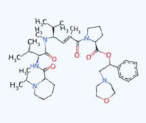 C/C(=C\[C@H](C(C)C)N(C)C(=O)[C@@H](NC(=O)C1CCCCN1C(C)C)C(C)C)C(=O)N1CCC[C@H]1C(=O)OC(CN1CCOCC1)c1ccccc1